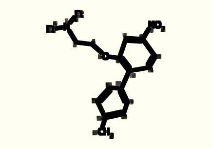 CCN(CC)CCOc1cc([N+](=O)[O-])ccc1-c1ccc(C)cc1